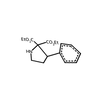 CCOC(=O)C1(C(=O)OCC)NCCC1c1ccccc1